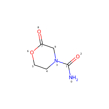 NC(=O)N1CCOC(=O)C1